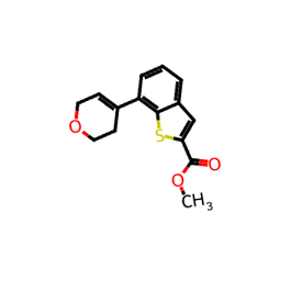 COC(=O)c1cc2cccc(C3=CCOCC3)c2s1